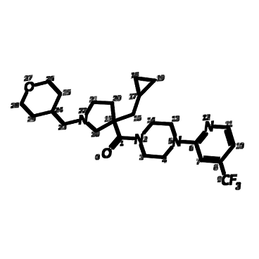 O=C(N1CCN(c2cc(C(F)(F)F)ccn2)CC1)C1(CC2CC2)CCN(CC2CCOCC2)C1